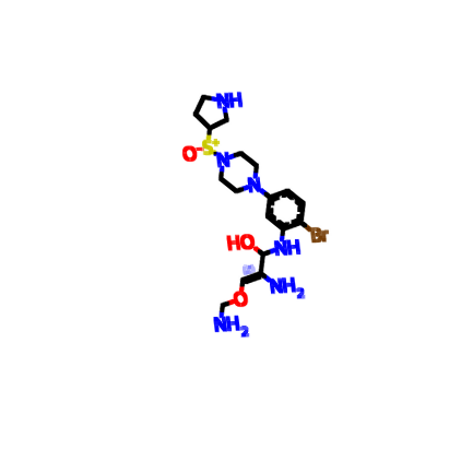 NCO/C=C(\N)C(O)Nc1cc(N2CCN([S+]([O-])C3CCNC3)CC2)ccc1Br